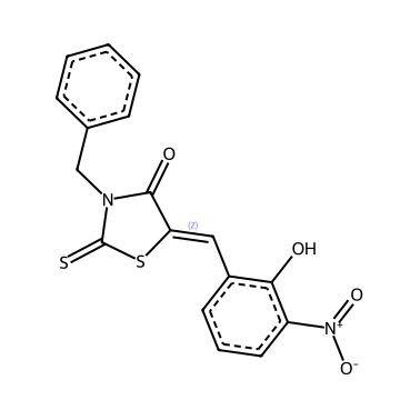 O=C1/C(=C/c2cccc([N+](=O)[O-])c2O)SC(=S)N1Cc1ccccc1